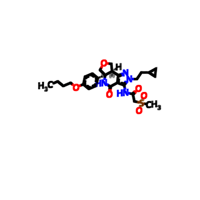 CCCCOc1ccc([C@]23COC[C@H]2c2nn(CCC4CC4)c(NC(=O)CS(C)(=O)=O)c2C(=O)N3)cc1